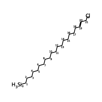 [SiH3]CCCCCCCCCCCCCCCCCCC=CCCl